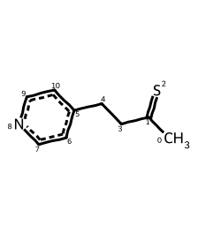 CC(=S)CCc1ccncc1